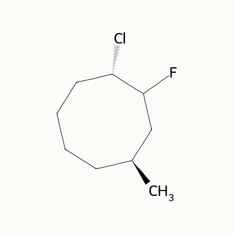 C[C@H]1CCCC[C@H](Cl)C(F)C1